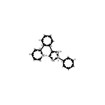 c1ccc(-n2ncc(-c3ccccc3-c3ccccn3)n2)cc1